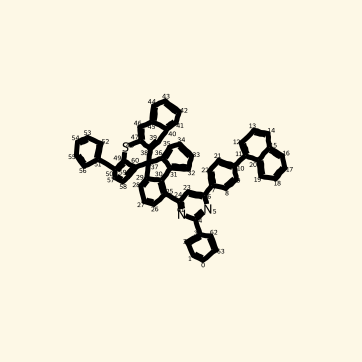 c1ccc(-c2nc(-c3ccc(-c4cccc5ccccc45)cc3)cc(-c3cccc4c3-c3ccccc3C43c4cc5ccccc5cc4Sc4c(-c5ccccc5)cccc43)n2)cc1